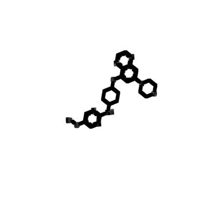 CCOc1cnc(NC2CCC(Oc3cc(N4CCOCC4)cc4nccnc34)CC2)nc1